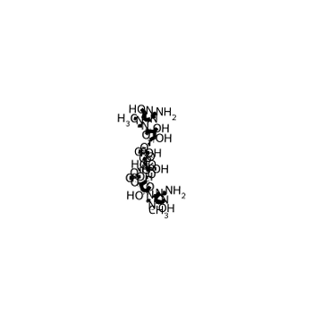 CC(C)OP(=O)(O)O[C@@H]1C(O)[C@H](n2c[n+](C)c3c(O)nc(N)nc32)O[C@@H]1COP(=O)(O)OP(=O)(O)OP(=O)(O)OC[C@H]1O[C@@H](n2c[n+](C)c3c(O)nc(N)nc32)C(O)C1O